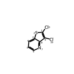 Clc1sc2cccnc2c1Cl